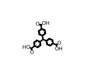 O=C(O)c1ccc(C(c2ccc(C(=O)O)cc2)c2ccc(C(=O)O)cc2)cc1